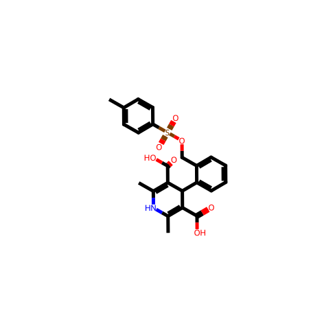 CC1=C(C(=O)O)C(c2ccccc2COS(=O)(=O)c2ccc(C)cc2)C(C(=O)O)=C(C)N1